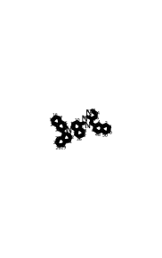 c1ccc2cc(-c3nc(-c4ccc(-n5c6cc7ccccc7cc6c6c7ccccc7ccc65)c5ccccc45)nc4ncccc34)ccc2c1